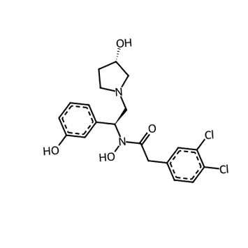 O=C(Cc1ccc(Cl)c(Cl)c1)N(O)[C@H](CN1CC[C@H](O)C1)c1cccc(O)c1